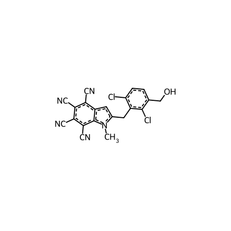 Cn1c(Cc2c(Cl)ccc(CO)c2Cl)cc2c(C#N)c(C#N)c(C#N)c(C#N)c21